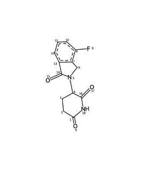 O=C1CCC(N2Cc3c(F)cccc3C2=O)C(=O)N1